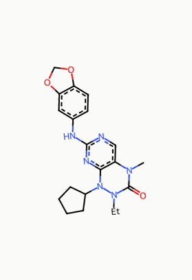 CCN1C(=O)N(C)c2cnc(Nc3ccc4c(c3)OCO4)nc2N1C1CCCC1